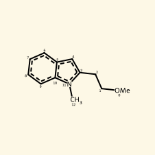 COCCc1cc2ccccc2n1C